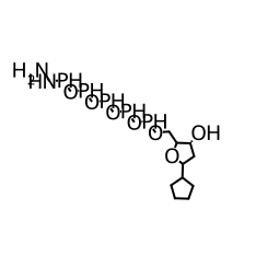 NNPOPOPOPOPOCC1OC(C2CCCC2)C[C@H]1O